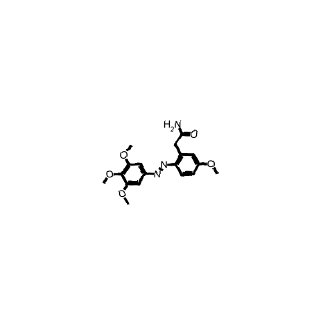 COc1ccc(N=Nc2cc(OC)c(OC)c(OC)c2)c(CC(N)=O)c1